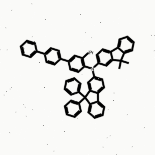 CC(C)c1cc(-c2ccc(-c3ccccc3)cc2)ccc1N(c1ccc2c(c1)C(C)(C)c1ccccc1-2)c1ccc2c(c1)C(c1ccccc1)(c1ccccc1)c1ccccc1-2